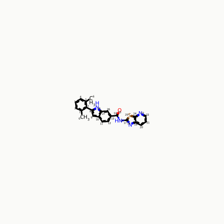 Cc1cccc(C)c1-c1cc2ccc(C(=O)Nc3nc4cccnc4s3)cc2[nH]1